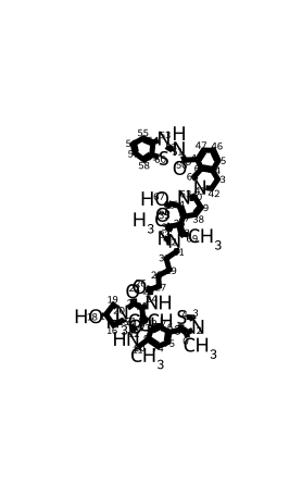 Cc1ncsc1-c1ccc(C(C)NC(=O)[C@@H]2C[C@@H](O)CN2C(=O)C(NC(=O)CCCCCn2nc(C)c(-c3ccc(N4CCc5cccc(C(=O)Nc6nc7ccccc7s6)c5C4)nc3C(=O)O)c2C)C(C)(C)C)cc1